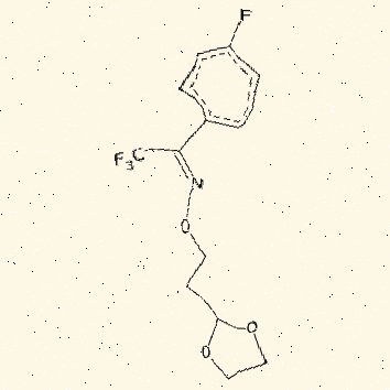 Fc1ccc(C(=NOCCC2OCCO2)C(F)(F)F)cc1